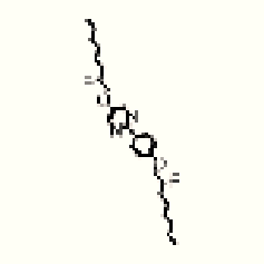 CCCCCC[C@H](F)COc1ccc(-c2ncc(OC[C@@H](F)CCCCCC)cn2)cc1